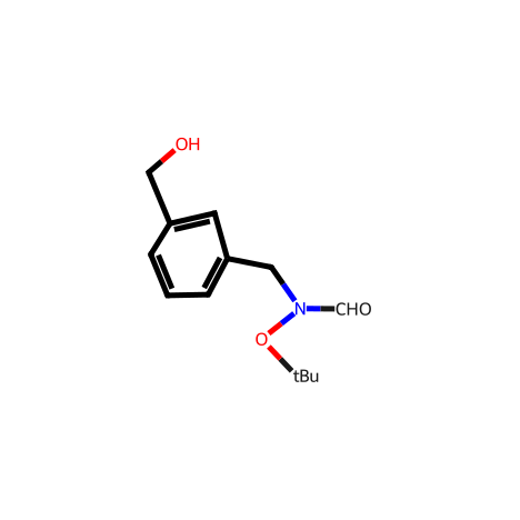 CC(C)(C)ON(C=O)Cc1cccc(CO)c1